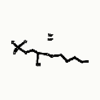 CCCCCOCC(O)COP(=O)([O-])[O-].[Na+].[Na+]